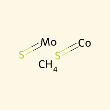 C.[S]=[Co].[S]=[Mo]